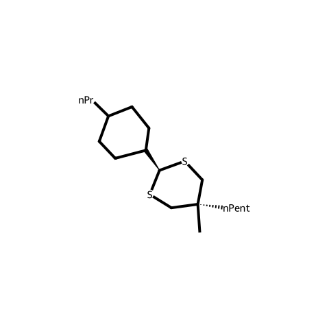 CCCCC[C@]1(C)CS[C@@H](C2CCC(CCC)CC2)SC1